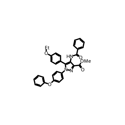 CCOc1ccc(-c2c(NC(=O)c3ccccc3)c(C(=O)OC)nn2-c2ccc(Oc3ccccc3)cc2)cc1